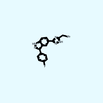 CC(C)Cc1nc(-c2ccc3[nH]nc(-c4ccc(F)cc4)c3c2)n[nH]1